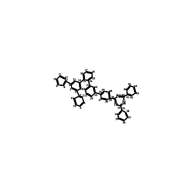 c1ccc(-c2cc(-c3ccccc3)cc(-c3ccccc3-c3cccc(-c4ccc(-c5nc(-c6ccccc6)nc(-c6ccccc6)n5)cc4)c3)c2)cc1